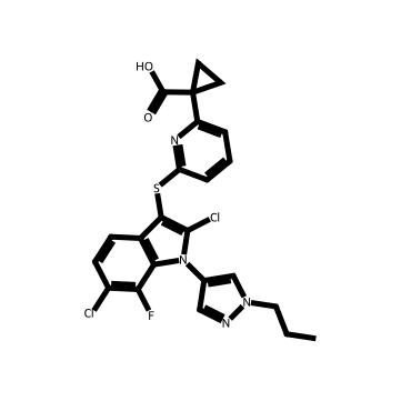 CCCn1cc(-n2c(Cl)c(Sc3cccc(C4(C(=O)O)CC4)n3)c3ccc(Cl)c(F)c32)cn1